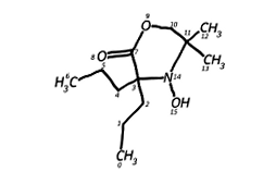 CCCC1(CCC)C(=O)OCC(C)(C)N1O